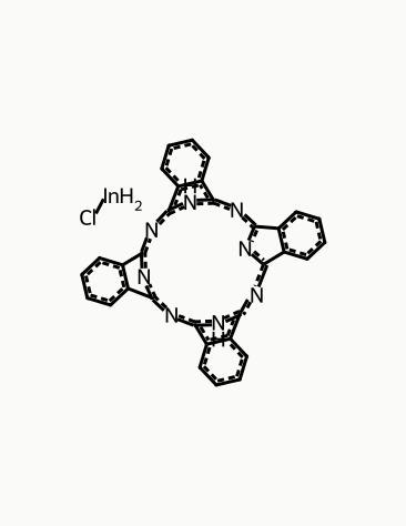 [Cl][InH2].c1ccc2c(c1)-c1nc-2nc2[nH]c(nc3nc(nc4[nH]c(n1)c1ccccc41)-c1ccccc1-3)c1ccccc21